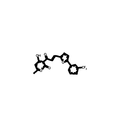 Cc1cc(O)c(C(=O)C=Cc2ccc(-c3cccc(C(F)(F)F)c3)o2)c(=O)o1